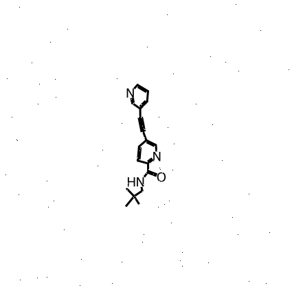 CC(C)(C)CNC(=O)c1ccc(C#Cc2cccnc2)cn1